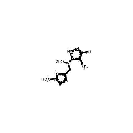 CCc1n[nH]c(N(C=O)Cc2ccc(C(=O)O)o2)c1C